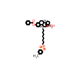 Cc1ccc(S(=O)(=O)OCCCCCCCCC[C@H]2C[C@]3(C)C4(O)CCC3(CC4)[C@@H]3CCc4cc(OC(=O)c5ccccc5)ccc4[C@@H]23)cc1